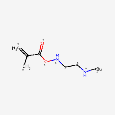 C=C(C)C(=O)ONCCNC(C)(C)C